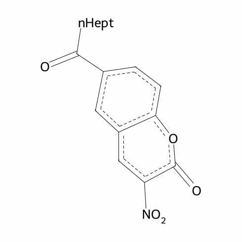 CCCCCCCC(=O)c1ccc2oc(=O)c([N+](=O)[O-])cc2c1